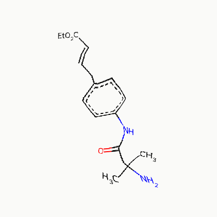 CCOC(=O)/C=C/c1ccc(NC(=O)C(C)(C)N)cc1